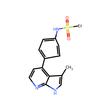 CCS(=O)(=O)Nc1ccc(-c2ccnc3[nH]cc(C)c23)cc1